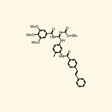 COc1cc(C(=O)NC(=NC(=O)OC(C)(C)C)Nc2ccc(C)c(NC(=O)c3ccc(C=Cc4ccccc4)cc3)c2)cc(OC)c1OC